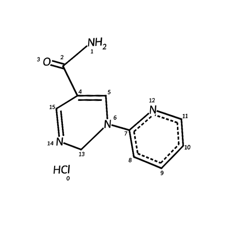 Cl.NC(=O)C1=CN(c2ccccn2)CN=C1